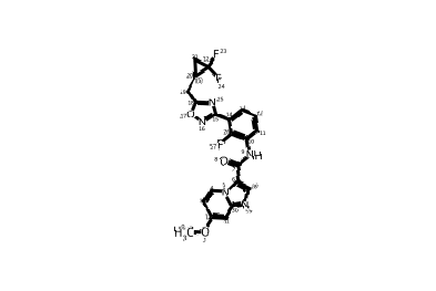 COc1ccn2c(C(=O)Nc3cccc(-c4noc(C[C@H]5CC5(F)F)n4)c3F)cnc2c1